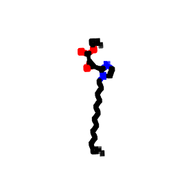 CCCCCCCCCCCCn1ccnc1[C@H]1O[C@@H]1C(=O)OC